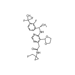 C[C@@H](Nc1ncnc(CC(=O)NC2(CF)CC2)c1C1OCCO1)c1cccc(C(C)(F)F)c1F